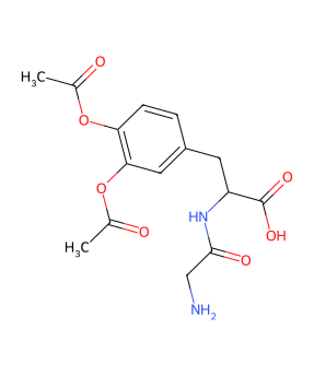 CC(=O)Oc1ccc(CC(NC(=O)CN)C(=O)O)cc1OC(C)=O